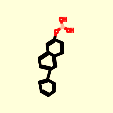 OB(O)Oc1ccc2cc(-c3ccccc3)ccc2c1